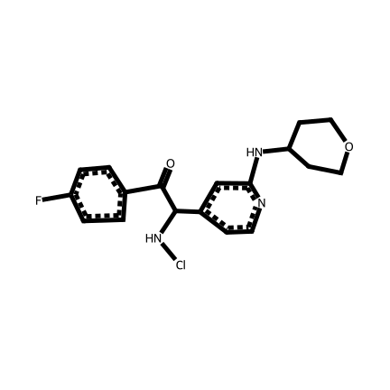 O=C(c1ccc(F)cc1)C(NCl)c1ccnc(NC2CCOCC2)c1